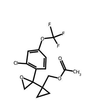 CC(=O)OCC1(C2(c3ccc(OC(F)(F)F)cc3Cl)CO2)CC1